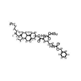 CC(C)CCC[C@@H](C)[C@H]1CCC2C3CC=C4C[C@@H](OC(=O)[C@H](CCCCNC(=O)OCc5ccccc5)NC(=O)OC(C)(C)C)CC[C@]4(C)C3CC[C@@]21C